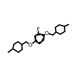 CC1CCC(COc2ccc(OCC3CCC(C)CC3)c(F)c2)CC1